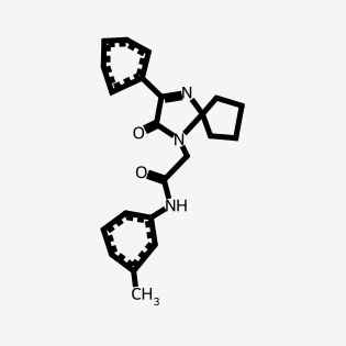 Cc1cccc(NC(=O)CN2C(=O)C(c3ccccc3)=NC23CCCC3)c1